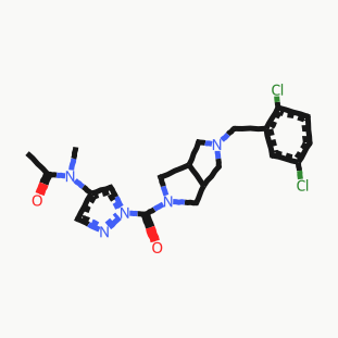 CC(=O)N(C)c1cnn(C(=O)N2CC3CN(Cc4cc(Cl)ccc4Cl)CC3C2)c1